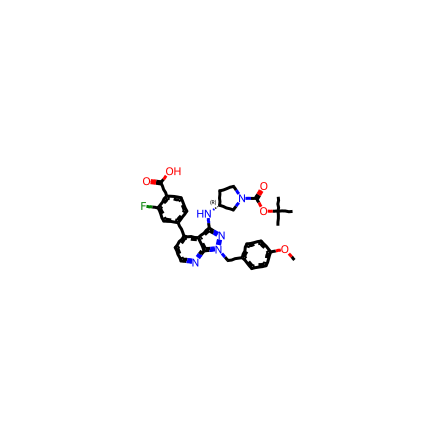 COc1ccc(Cn2nc(N[C@@H]3CCN(C(=O)OC(C)(C)C)C3)c3c(-c4ccc(C(=O)O)c(F)c4)ccnc32)cc1